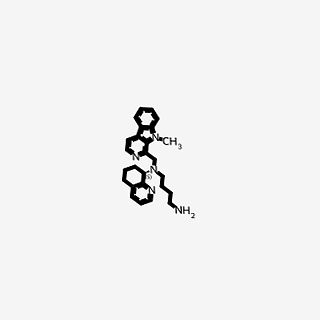 Cn1c2ccccc2c2ccnc(CN(CCCCN)[C@H]3CCCc4cccnc43)c21